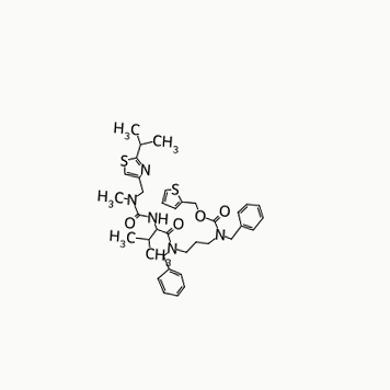 CC(C)c1nc(CN(C)C(=O)NC(C(=O)N(CCCN(Cc2ccccc2)C(=O)OCc2cccs2)Cc2ccccc2)C(C)C)cs1